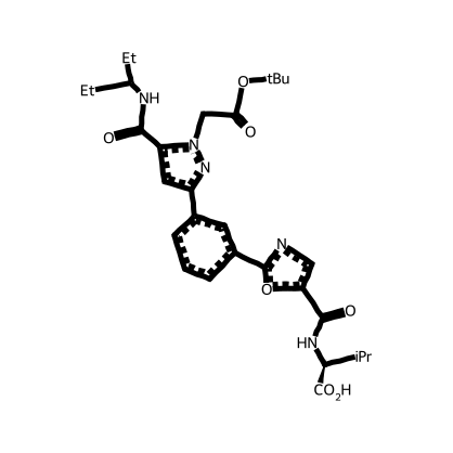 CCC(CC)NC(=O)c1cc(-c2cccc(-c3ncc(C(=O)N[C@H](C(=O)O)C(C)C)o3)c2)nn1CC(=O)OC(C)(C)C